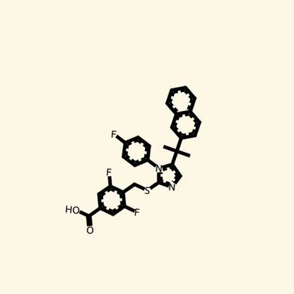 CC(C)(c1ccc2ccccc2c1)c1cnc(SCc2c(F)cc(C(=O)O)cc2F)n1-c1ccc(F)cc1